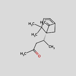 C=C1C2=C=CC(C)(C)[C@]1(C(C)CC(C)=O)C2